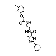 Cc1cccc(OCC(=O)NCCNC(=O)c2nc(-c3ccccc3)no2)c1C